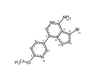 COc1ccc(-c2cnc(N)c3c(Br)csc23)cn1